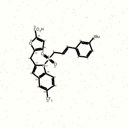 CC(C)(C)c1cccc(C=CCS(=O)(=O)n2c(Cc3ccc(C(=O)O)o3)cc3cc(C(F)(F)F)ccc32)c1